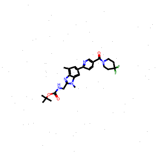 Cc1cc(-c2ccc(C(=O)N3CCC(F)(F)CC3)cn2)cc2c1nc(CNC(=O)OC(C)(C)C)n2C